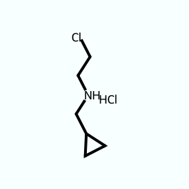 Cl.ClCCNCC1CC1